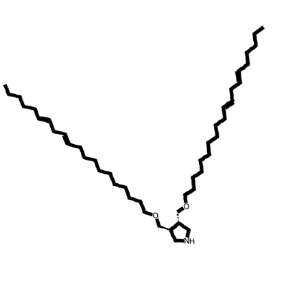 CCCCCC=CCC=CCCCCCCCCCCOC[C@@H]1CNC[C@H]1COCCCCCCCCCCC=CCC=CCCCCC